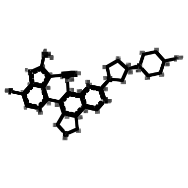 N#Cc1c(N)sc2c(F)cnc(-c3c4c(c5cnc(N6CC[C@@H](N7CCC(F)CC7)C6)nc5c3F)COC4)c12